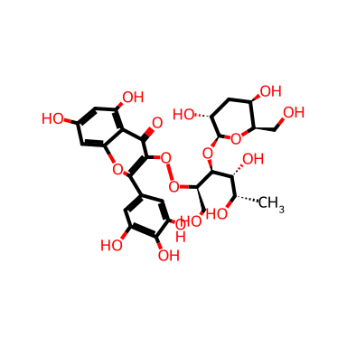 C[C@H](O)[C@@H](O)[C@H](O[C@@H]1O[C@H](CO)[C@H](O)C[C@H]1O)[C@@H](CO)OOc1c(-c2cc(O)c(O)c(O)c2)oc2cc(O)cc(O)c2c1=O